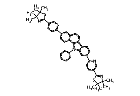 CC1(C)N=C(c2ccc(-c3ccc4c(ccc5c6ccc(-c7ccc(C8=NC(C)(C)C(C)(C)S8)cn7)cc6n(-c6ccccc6)c45)c3)nc2)SC1(C)C